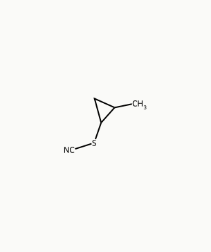 CC1CC1SC#N